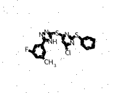 Cc1cc(F)cc(-c2nnc(Sc3cc(Cl)nc(Sc4ccccc4)n3)[nH]2)c1